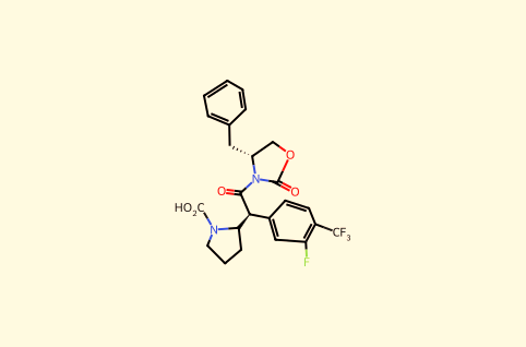 O=C(O)N1CCCC1[C@@H](C(=O)N1C(=O)OC[C@H]1Cc1ccccc1)c1ccc(C(F)(F)F)c(F)c1